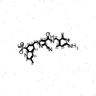 Cc1cnc2c(S(C)(=O)=O)cc(Cn3cc(C(=O)NCc4c(C)cc(N)nc4C)c(C#N)n3)cc2c1